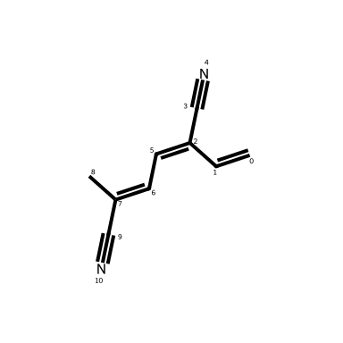 C=C/C(C#N)=C\C=C(/C)C#N